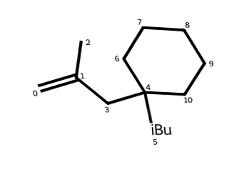 C=C(C)CC1(C(C)CC)CCCCC1